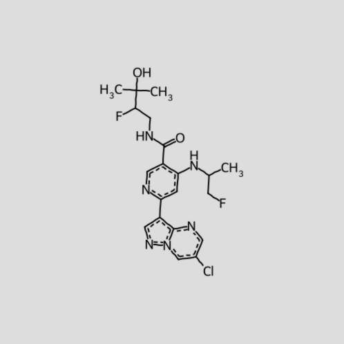 CC(CF)Nc1cc(-c2cnn3cc(Cl)cnc23)ncc1C(=O)NCC(F)C(C)(C)O